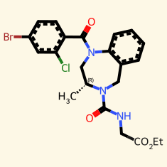 CCOC(=O)CNC(=O)N1Cc2ccccc2N(C(=O)c2ccc(Br)cc2Cl)C[C@H]1C